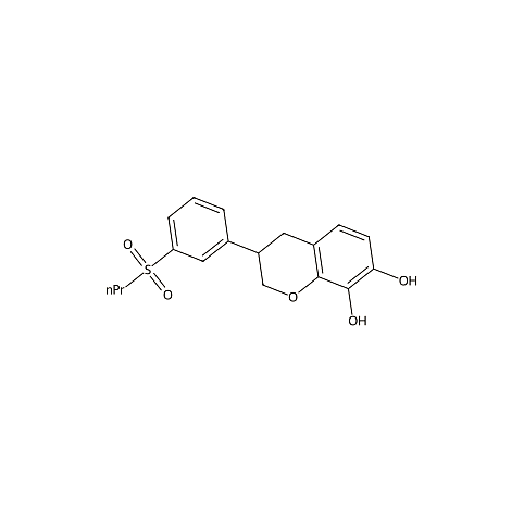 CCCS(=O)(=O)c1cccc(C2COc3c(ccc(O)c3O)C2)c1